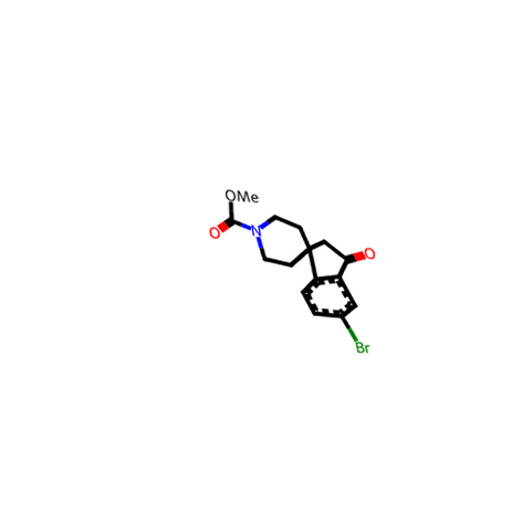 COC(=O)N1CCC2(CC1)CC(=O)c1cc(Br)ccc12